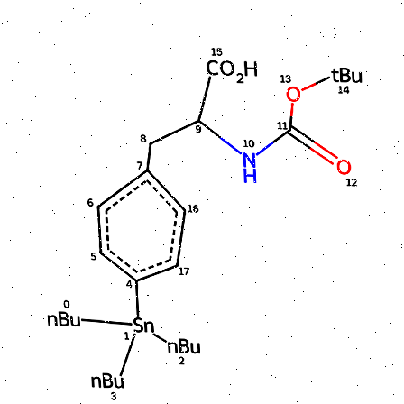 CCC[CH2][Sn]([CH2]CCC)([CH2]CCC)[c]1ccc(CC(NC(=O)OC(C)(C)C)C(=O)O)cc1